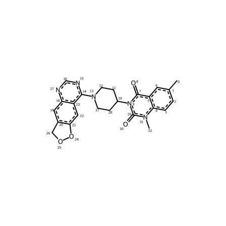 Cc1ccc2c(c1)c(=O)n(C1CCN(c3ncnc4cc5c(cc34)OOC5)CC1)c(=O)n2C